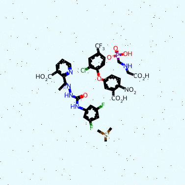 C/C(=N\NC(=O)Nc1cc(F)cc(F)c1)c1ncccc1C(=O)O.C[S+](C)C.O=C(O)CNCP(=O)([O-])O.O=C(O)c1cc(Oc2ccc(C(F)(F)F)cc2Cl)ccc1[N+](=O)[O-]